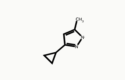 CC1=CC(C2CC2)=N[N]1